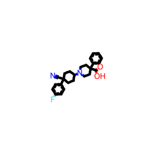 N#CC1(c2ccc(F)cc2)CCC(N2CCC(C(=O)O)(c3ccccc3)CC2)CC1